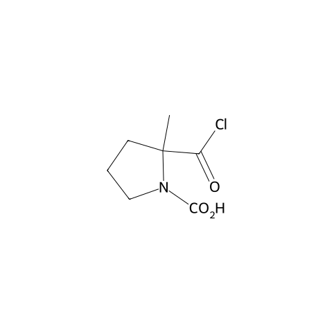 CC1(C(=O)Cl)CCCN1C(=O)O